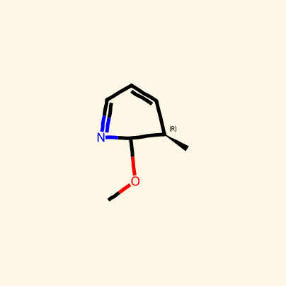 COC1N=CC=C[C@H]1C